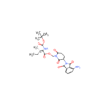 CC[C@H](C)[C@H](NC(=O)OC(C)(C)C)C(=O)OCN1C(=O)CCC(N2C(=O)c3cccc(N)c3C2=O)C1=O